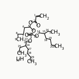 C=CC(=O)OC(CCCC)OP(=O)(OCC(CC)CCCC)OCC(CC)CCCC.[LiH]